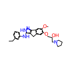 CCc1cccc(Nc2[nH]nc3c2Cc2cc(OCC(O)CN4CCCC4)c(OC)cc2-3)c1